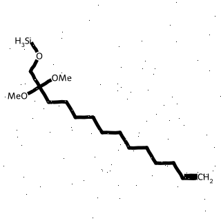 C=CCCCCCCCCCCC(CO[SiH3])(OC)OC